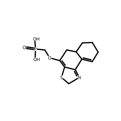 O=P(O)(O)COC1=C2SCN=C2C2=CCCCC2C1